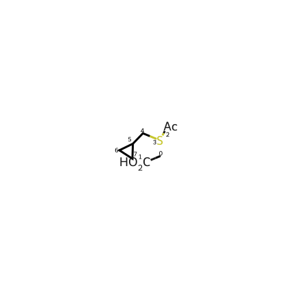 CC(=O)O.CC(=O)SCC1CC1